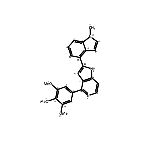 COc1cc(-c2nccc3[nH]c(-c4cccc5c4ccn5C)nc23)cc(OC)c1OC